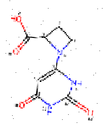 O=C(O)C1CCN1c1cc(=O)[nH]c(=O)[nH]1